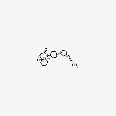 CCOC[C@@H]1CC[C@H](N2CCC(N3C(=O)CO[C@H]4CCCC[C@@H]43)CC2)C1